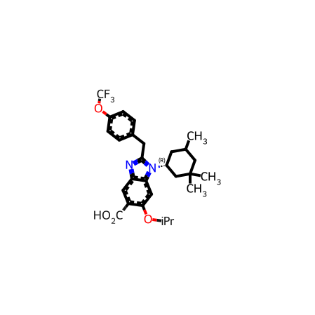 CC1C[C@@H](n2c(Cc3ccc(OC(F)(F)F)cc3)nc3cc(C(=O)O)c(OC(C)C)cc32)CC(C)(C)C1